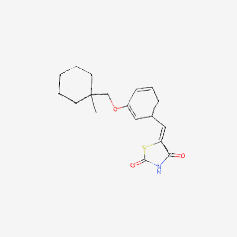 CC1(COC2=CC(/C=C3\SC(=O)NC3=O)CC=C2)CCCCC1